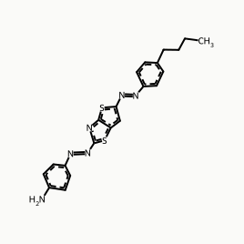 CCCCc1ccc(N=Nc2cc3sc(N=Nc4ccc(N)cc4)nc3s2)cc1